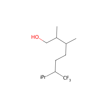 CC(C)C(CCC(C)C(C)CO)C(F)(F)F